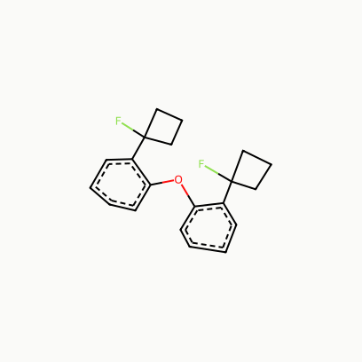 FC1(c2ccccc2Oc2ccccc2C2(F)CCC2)CCC1